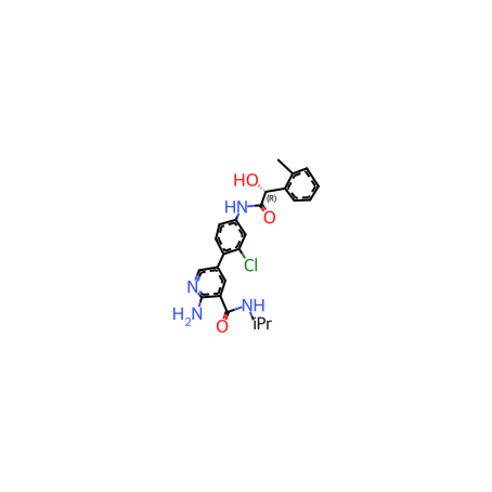 Cc1ccccc1[C@@H](O)C(=O)Nc1ccc(-c2cnc(N)c(C(=O)NC(C)C)c2)c(Cl)c1